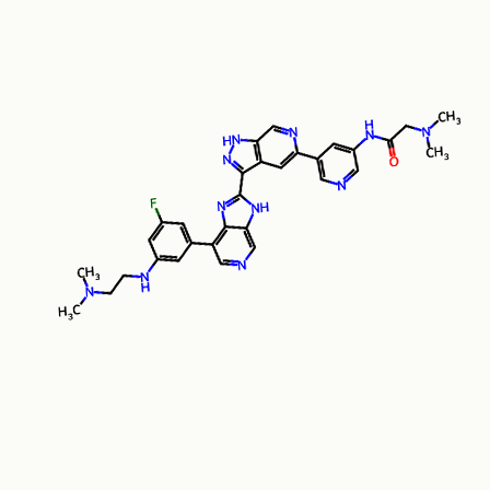 CN(C)CCNc1cc(F)cc(-c2cncc3[nH]c(-c4n[nH]c5cnc(-c6cncc(NC(=O)CN(C)C)c6)cc45)nc23)c1